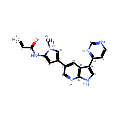 C=CC(=O)Nc1cc(-c2cnc3[nH]cc(-c4ccncn4)c3c2)cn1C